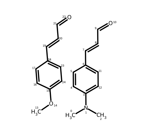 CN(C)c1ccc(C=CC=O)cc1.COc1ccc(C=CC=O)cc1